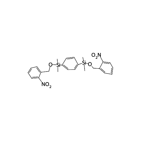 C[Si](C)(OCc1ccccc1[N+](=O)[O-])c1ccc([Si](C)(C)OCc2ccccc2[N+](=O)[O-])cc1